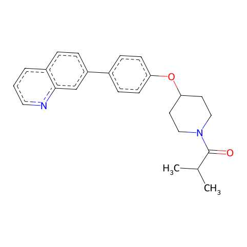 CC(C)C(=O)N1CCC(Oc2ccc(-c3ccc4cccnc4c3)cc2)CC1